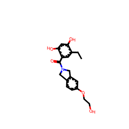 CCc1cc(C(=O)N2Cc3ccc(OCCO)cc3C2)c(O)cc1O